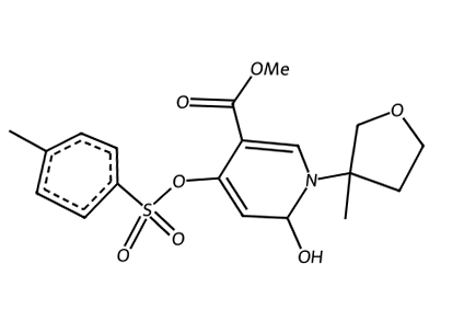 COC(=O)C1=CN(C2(C)CCOC2)C(O)C=C1OS(=O)(=O)c1ccc(C)cc1